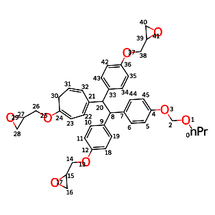 CCCOCOc1ccc(C(c2ccc(OCC3CO3)cc2)C(C2=CC=C(OCC3CO3)CC=C2)c2ccc(OCC3CO3)cc2)cc1